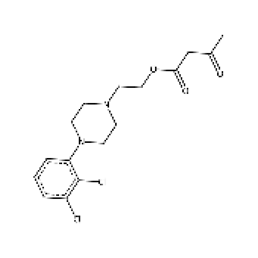 CC(=O)CC(=O)OCCN1CCN(c2cccc(Cl)c2Cl)CC1